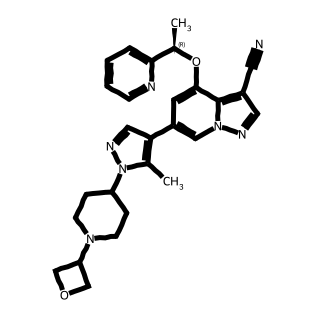 Cc1c(-c2cc(O[C@H](C)c3ccccn3)c3c(C#N)cnn3c2)cnn1C1CCN(C2COC2)CC1